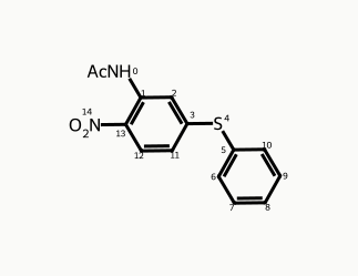 CC(=O)Nc1cc(Sc2ccccc2)ccc1[N+](=O)[O-]